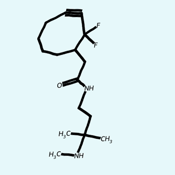 CNC(C)(C)CCNC(=O)CC1CCCCC#CC1(F)F